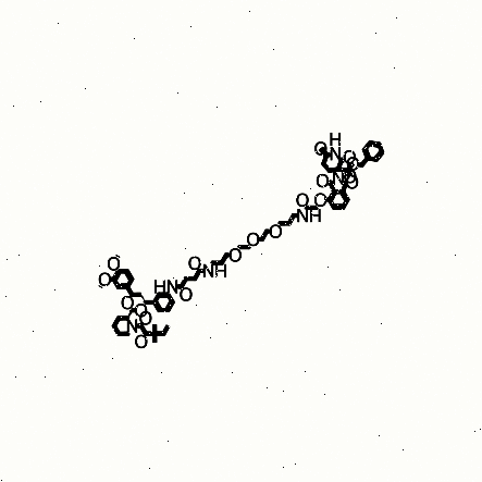 CCC(C)(C)C(=O)C(=O)N1CCCC[C@H]1C(=O)O[C@H](CCc1ccc(OC)c(OC)c1)c1cccc(NC(=O)CCC(=O)NCCCOCCOCCOCCCNC(=O)COc2cccc3c2C(=O)N([C@@]2(C(=O)OCc4ccccc4)CCC(=O)NC2=O)C3=O)c1